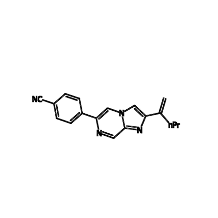 C=C(CCC)c1cn2cc(-c3ccc(C#N)cc3)ncc2n1